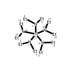 CC[N](CC)[Ti]([N](CC)CC)([N](CC)CC)([N](CC)CC)[N](CC)CC